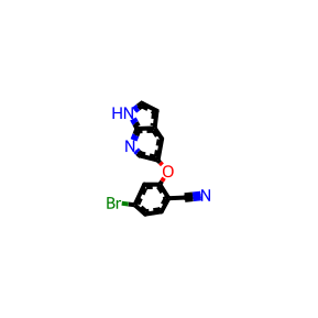 N#Cc1ccc(Br)cc1Oc1cnc2[nH]ccc2c1